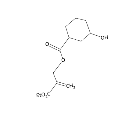 C=C(COC(=O)C1CCCC(O)C1)C(=O)OCC